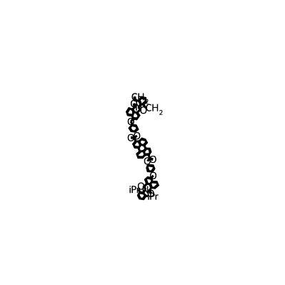 C=Cc1cccc(C=C)c1N1C(=O)c2cccc3c(Oc4ccc(OC(=O)c5ccc6c7cccc8c(C(=O)Oc9ccc(Oc%10ccc%11c%12c(cccc%10%12)C(=O)N(c%10c(C(C)C)cccc%10C(C)C)C%11=O)cc9)ccc(c9cccc5c96)c87)cc4)ccc(c23)C1=O